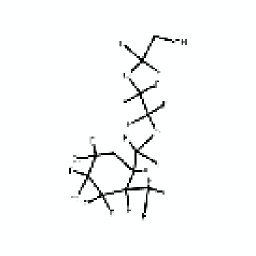 CCC1(F)CC(F)(C(F)(F)OC(F)(F)C(F)(F)OC(F)(F)CO)C(F)(C(C)(F)F)C(F)(F)C1(F)CC